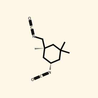 CC1(C)C[C@H](N=C=O)C[C@@](C)(CN=C=O)C1